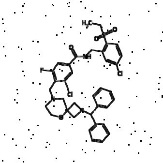 CCS(=O)(=O)c1ccc(Cl)cc1CNC(=O)c1cc(F)c(CN2CCOC3(C2)CN(C(c2ccccc2)c2ccccc2)C3)c(Cl)c1